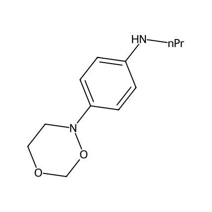 [CH2]CCNc1ccc(N2CCOCO2)cc1